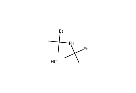 CCC(C)(C)PC(C)(C)CC.Cl